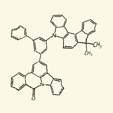 CC1(C)c2ccccc2-c2c1ccc1c2c2ccccc2n1-c1cc(-c2ccccc2)cc(-c2cc3c4ccccc4c(=O)n4c5ccccc5c(c2)c34)c1